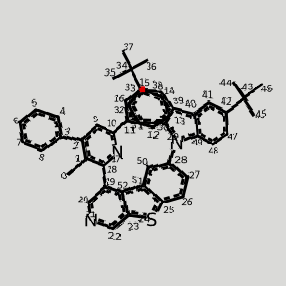 Cc1c(-c2ccccc2)cc(-c2ccccc2)nc1-c1cncc2sc3ccc(-n4c5ccc(C(C)(C)C)cc5c5cc(C(C)(C)C)ccc54)cc3c12